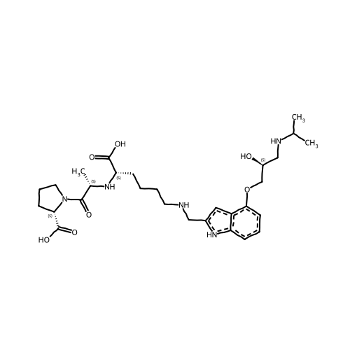 CC(C)NC[C@H](O)COc1cccc2[nH]c(CNCCCC[C@H](N[C@@H](C)C(=O)N3CCC[C@H]3C(=O)O)C(=O)O)cc12